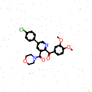 COc1ccc(C(=O)c2ncc(-c3ccc(Cl)cc3)cc2C(=O)N2CCOCC2)cc1OC